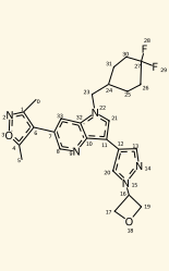 Cc1noc(C)c1-c1cnc2c(-c3cnn(C4COC4)c3)cn(CC3CCC(F)(F)CC3)c2c1